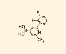 OB(O)c1cc(-c2cccc(F)c2F)nc(C(F)(F)F)c1